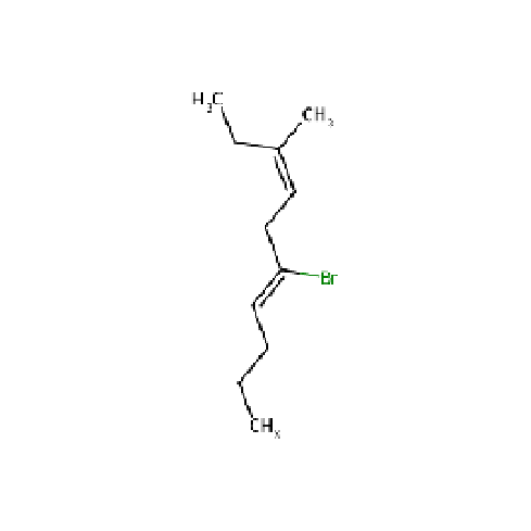 CCC/C=C(\Br)CC=C(C)CC